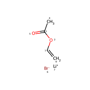 C=COC(C)=O.[Br-].[Li+]